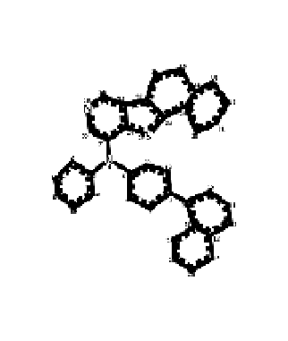 c1ccc(N(c2ccc(-c3cccc4ccccc34)cc2)c2cncc3c2sc2c4ccccc4ccc32)cc1